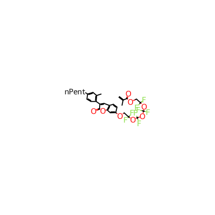 C=C(C)C(=O)OCC(F)(F)OC(F)(F)OC(F)(F)OC(F)(F)COc1ccc2cc(-c3ccc(CCCCC)cc3C)c(=O)oc2c1